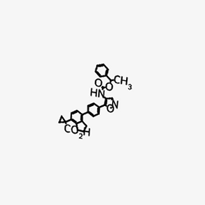 CC(OC(=O)Nc1cnoc1-c1ccc(-c2ccc(C3(C(=O)O)CC3)c3c2CCC3)cc1)c1ccccc1